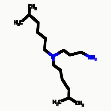 CC(C)CCCCN(CCCN)CCCCC(C)C